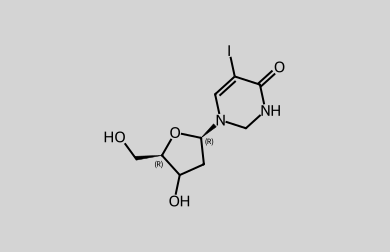 O=C1NCN([C@H]2CC(O)[C@@H](CO)O2)C=C1I